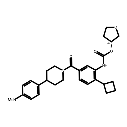 CNc1ccc(C2CCN(C(=O)c3ccc(C4CCC4)c(NC(=O)O[C@@H]4CCOC4)c3)CC2)cc1